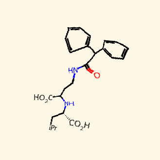 CC(C)C[C@H](NC(CCNC(=O)C(c1ccccc1)c1ccccc1)C(=O)O)C(=O)O